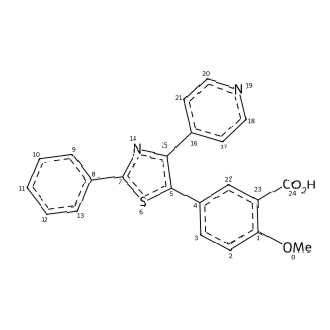 COc1ccc(-c2sc(-c3ccccc3)nc2-c2ccncc2)cc1C(=O)O